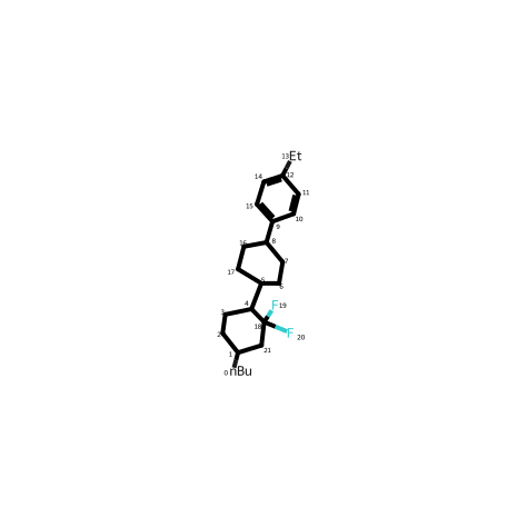 CCCCC1CCC(C2CCC(c3ccc(CC)cc3)CC2)C(F)(F)C1